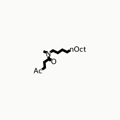 CCCCCCCCCCCCN(C)C(=O)CCC(C)=O